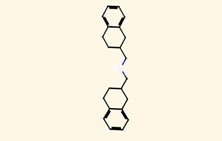 c1ccc2c(c1)CCC(CNCC1CCc3ccccc3C1)C2